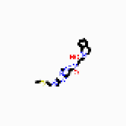 CCSCCN1CC(Nc2cc(C(=O)NCC(O)CN3CCc4ccccc4C3)ncn2)C1